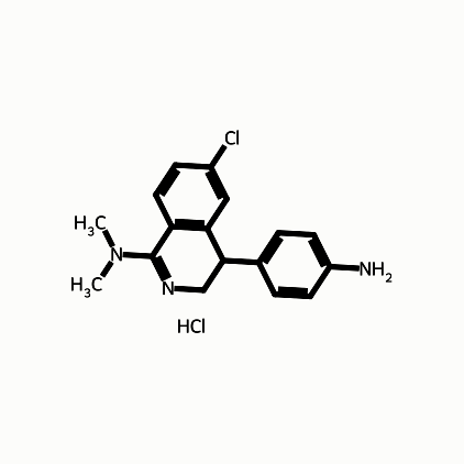 CN(C)C1=NCC(c2ccc(N)cc2)c2cc(Cl)ccc21.Cl